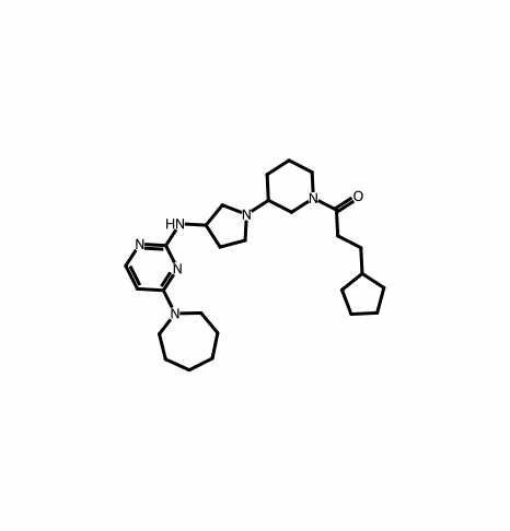 O=C(CCC1CCCC1)N1CCCC(N2CCC(Nc3nccc(N4CCCCCC4)n3)C2)C1